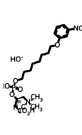 C[N+](C)(C)C[C@@H](CC(=O)O)OP(=O)(O)OCCCCCCCCOc1cccc([N+](=O)[O-])c1.[OH-]